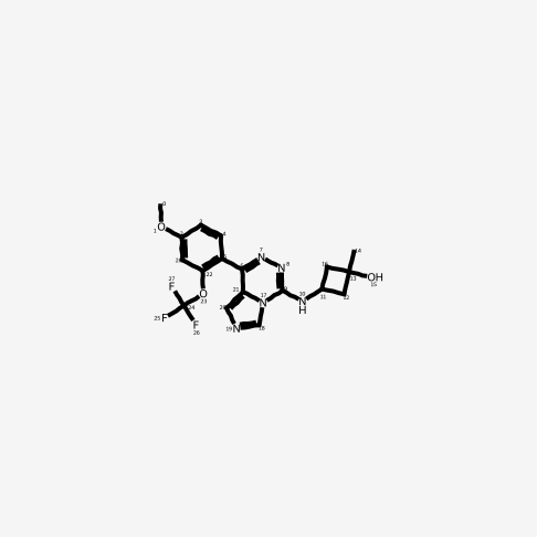 COc1ccc(-c2nnc(NC3CC(C)(O)C3)n3cncc23)c(OC(F)(F)F)c1